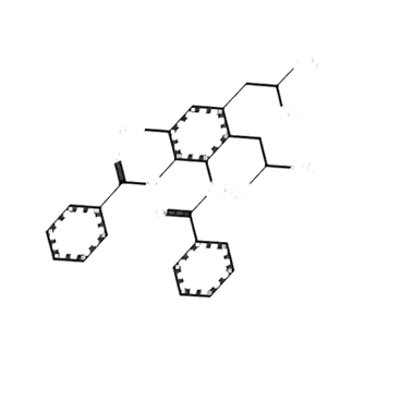 Cc1cc(CC(C)C)c(CC(C)C)c(OC(=O)c2ccccc2)c1OC(=O)c1ccccc1